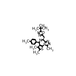 Cc1ccc(C2=N[C@@H](Cc3nnc(C(C)(C)C)o3)c3nnc(C)n3-c3sc(C)c(C)c32)cc1